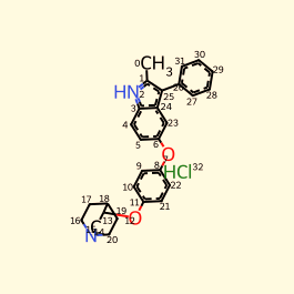 Cc1[nH]c2ccc(Oc3ccc(OC4CN5CCC4CC5)cc3)cc2c1-c1ccccc1.Cl